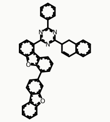 C1=CC(c2nc(-c3ccccc3)nc(-c3cccc4oc5c(-c6ccc7c(c6)oc6ccccc67)cccc5c34)n2)Cc2ccccc21